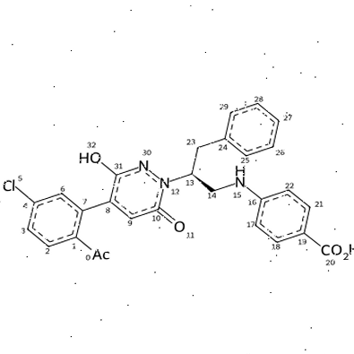 CC(=O)c1ccc(Cl)cc1-c1cc(=O)n([C@H](CNc2ccc(C(=O)O)cc2)Cc2ccccc2)nc1O